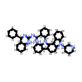 N=C(/N=c1/nc(-c2ccccc2)c2ccccc2[nH]1)c1ccccc1-n1c2ccccc2c2ccc3c(c4ccccc4n3-c3cccnc3)c21